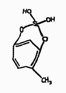 Cc1ccc2cc1O[Si](O)(O)O2